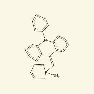 NC1(C=Cc2ccccc2N(c2ccccc2)c2ccccc2)C=CC=CC1